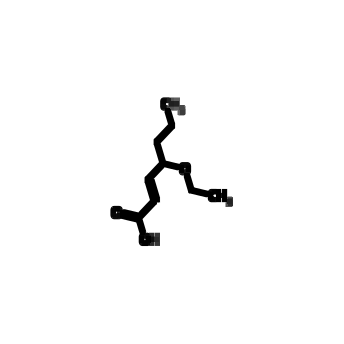 CCCC(C=CC(=O)O)OCC